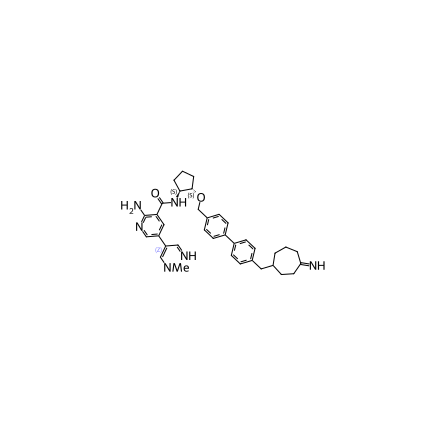 CN/C=C(\C=N)c1cnc(N)c(C(=O)N[C@H]2CCC[C@@H]2OCc2ccc(-c3ccc(CC4CCCC(=N)CC4)cc3)cc2)c1